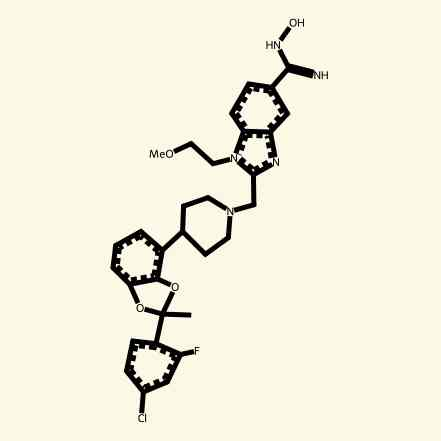 COCCn1c(CN2CCC(c3cccc4c3OC(C)(c3ccc(Cl)cc3F)O4)CC2)nc2cc(C(=N)NO)ccc21